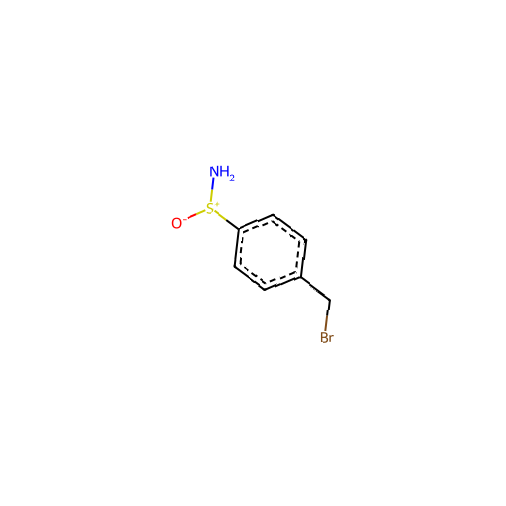 N[S+]([O-])c1ccc(CBr)cc1